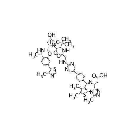 Cc1ncsc1-c1ccc(C(C)NC(=O)[C@@H]2C[C@@H](O)CN2C(=O)C(NC(=O)CNc2ncc(-c3ccc(C4=N[C@@H](CC(=O)O)c5nnc(C)n5-c5sc(C)c(C)c54)cc3)cn2)C(C)(C)C)cc1